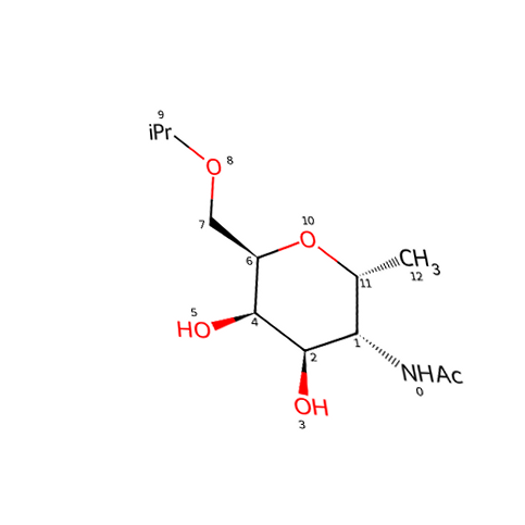 CC(=O)N[C@@H]1[C@@H](O)[C@@H](O)[C@@H](COC(C)C)O[C@@H]1C